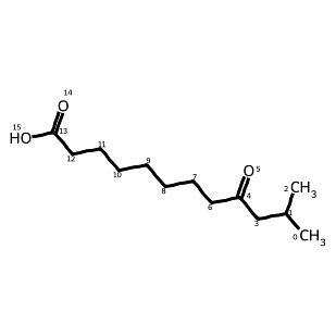 CC(C)CC(=O)CCCCCCCC(=O)O